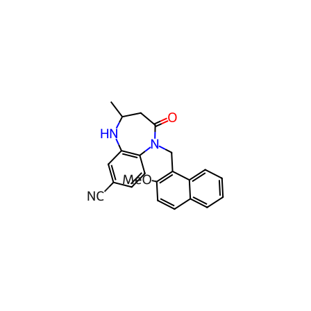 COc1ccc2ccccc2c1CN1C(=O)CC(C)Nc2cc(C#N)ccc21